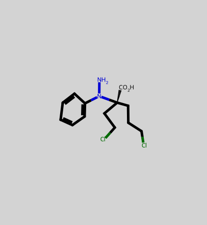 NN(c1ccccc1)[C@@](CCCl)(CCCCl)C(=O)O